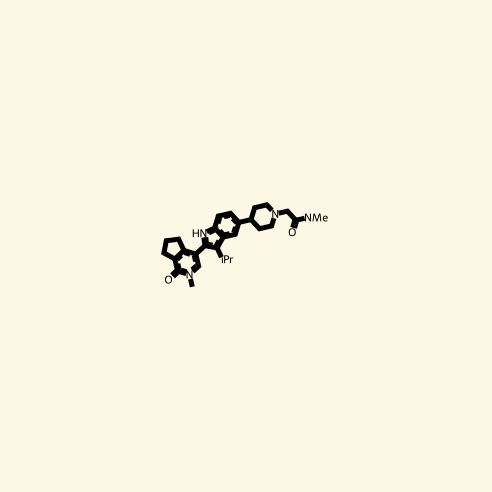 CNC(=O)CN1CCC(c2ccc3[nH]c(-c4cn(C)c(=O)c5c4CCC5)c(C(C)C)c3c2)CC1